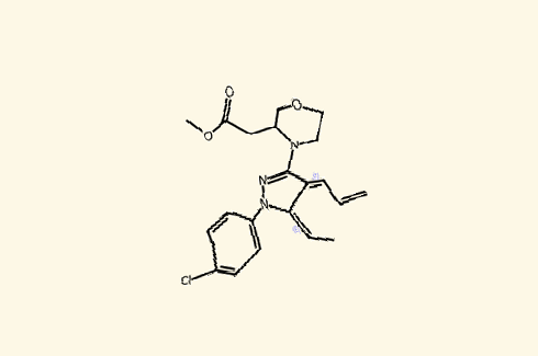 C=C/C=c1/c(N2CCOCC2CC(=O)OC)nn(-c2ccc(Cl)cc2)/c1=C/C